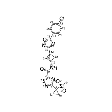 CS(=O)(=O)C1(c2nsc(C(=O)NC34CC(c5noc(-c6ccc(Cl)cc6)n5)(C3)C4)n2)CC1